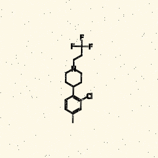 Cc1ccc(C2CCN(CCC(F)(F)F)CC2)c(Cl)c1